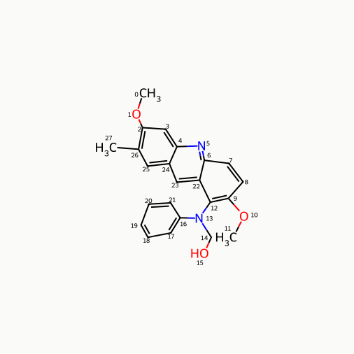 COc1cc2nc3ccc(OC)c(N(CO)c4ccccc4)c3cc2cc1C